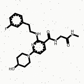 CNC(=O)CNC(=O)c1ccc(N2CCC(O)CC2)nc1NCCc1cccc(F)c1